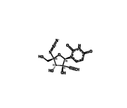 C#C[C@@]1(O)[C@H](n2ccc(=O)[nH]c2=O)O[C@@](CO)(N=[N+]=[N-])[C@H]1O